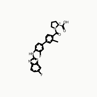 Cc1cc(-c2ccc(Nc3nc4ccc(F)cc4s3)c(F)c2)ccc1C(=O)N1CCC[C@H]1C(=O)O